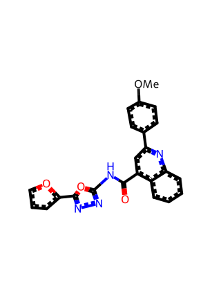 COc1ccc(-c2cc(C(=O)Nc3nnc(-c4ccco4)o3)c3ccccc3n2)cc1